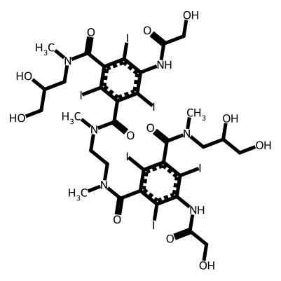 CN(CCN(C)C(=O)c1c(I)c(NC(=O)CO)c(I)c(C(=O)N(C)CC(O)CO)c1I)C(=O)c1c(I)c(NC(=O)CO)c(I)c(C(=O)N(C)CC(O)CO)c1I